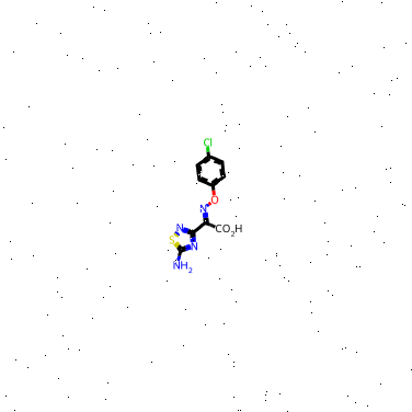 Nc1nc(/C(=N/Oc2ccc(Cl)cc2)C(=O)O)ns1